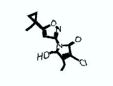 CC1=C(Cl)C(=O)N(c2cc(C3(C)CC3)on2)C1O